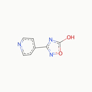 Oc1nc(-c2ccncc2)no1